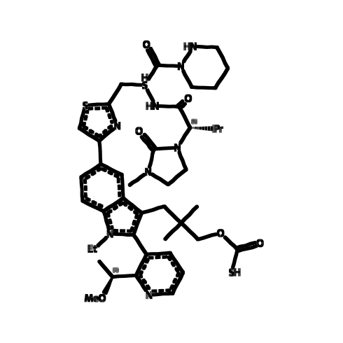 CCn1c(-c2cccnc2[C@H](C)OC)c(CC(C)(C)COC(=O)S)c2cc(-c3csc(C[SH](NC(=O)[C@H](C(C)C)N4CCN(C)C4=O)C(=O)N4CCCCN4)n3)ccc21